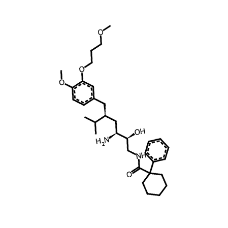 COCCCOc1cc(C[C@@H](C[C@H](N)[C@@H](O)CNC(=O)C2(c3ccccc3)CCCCC2)C(C)C)ccc1OC